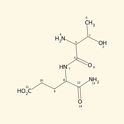 CC(O)C(N)C(=O)NC(CCC(=O)O)C(N)=O